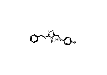 CCn1c(CNc2ccc(F)cc2)nnc1SCc1ccccc1